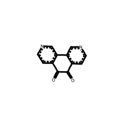 O=C1C(=O)c2ccncc2-c2cnccc21